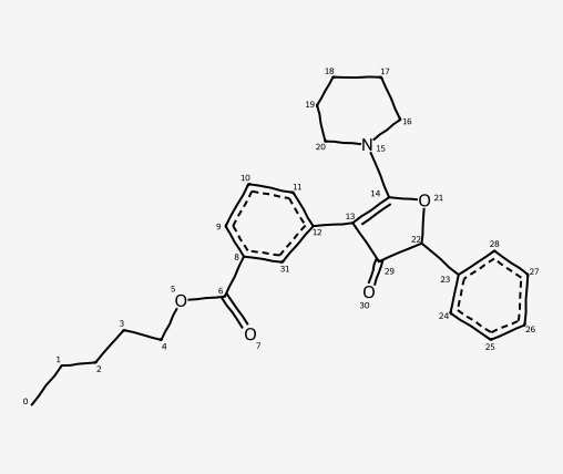 CCCCCOC(=O)c1cccc(C2=C(N3CCCCC3)OC(c3ccccc3)C2=O)c1